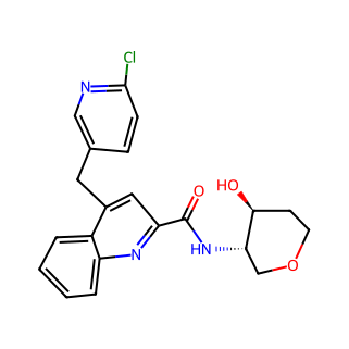 O=C(N[C@H]1COCC[C@@H]1O)c1cc(Cc2ccc(Cl)nc2)c2ccccc2n1